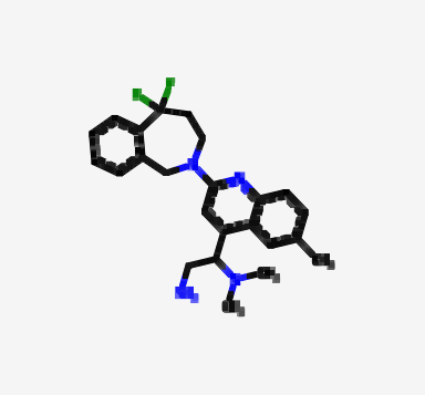 Cc1ccc2nc(N3CCC(F)(F)c4ccccc4C3)cc(C(CN)N(C)C)c2c1